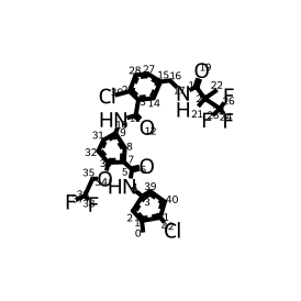 Cc1cc(NC(=O)c2cc(NC(=O)c3cc(CNC(=O)C(C)(C)C(F)(F)F)ccc3Cl)ccc2OCC(F)F)ccc1Cl